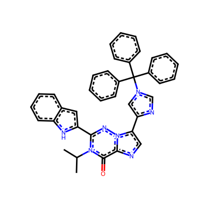 CC(C)n1c(-c2cc3ccccc3[nH]2)nn2c(-c3cn(C(c4ccccc4)(c4ccccc4)c4ccccc4)cn3)cnc2c1=O